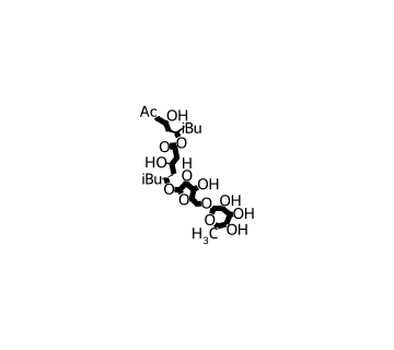 CC[C@H](C)[C@H](C[C@H](O)CC(C)=O)OC(=O)C[C@@H](O)C[C@H](OC1OC(COC2OC(C)C(O)C(O)C2O)C(O)C1O)[C@@H](C)CC